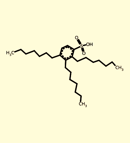 CCCCCCCc1ccc(S(=O)(=O)O)c(CCCCCCC)c1CCCCCCC